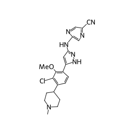 COc1c(-c2cc(Nc3cnc(C#N)cn3)n[nH]2)ccc(C2CCN(C)CC2)c1Cl